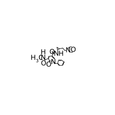 CNC(=O)c1cc(C(=O)NC2CC2CCN2CCOCC2)cn(Cc2ccccc2)c1=O